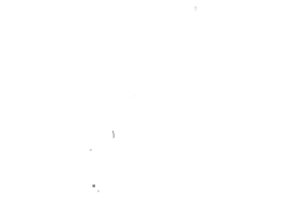 CCc1cc2ccc(C(C)(C#N)Cc3cccc(N4CCNCC4)c3)cc2[nH]c1=O